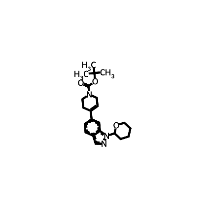 CC(C)(C)OC(=O)N1CC=C(c2ccc3cnn(C4CCCCO4)c3c2)CC1